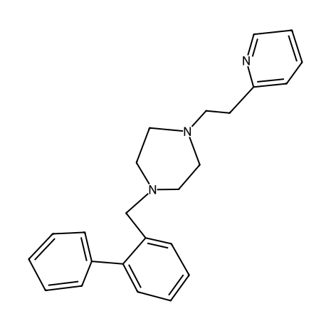 c1ccc(-c2ccccc2CN2CCN(CCc3ccccn3)CC2)cc1